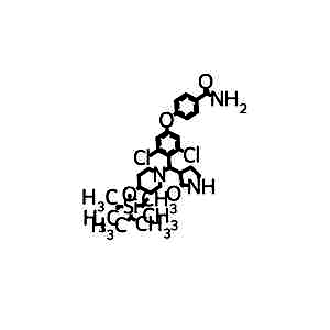 CC(C)[Si](OC1CCN(C(c2c(Cl)cc(Oc3ccc(C(N)=O)cc3)cc2Cl)C2CCNC2=O)CC1)(C(C)C)C(C)C